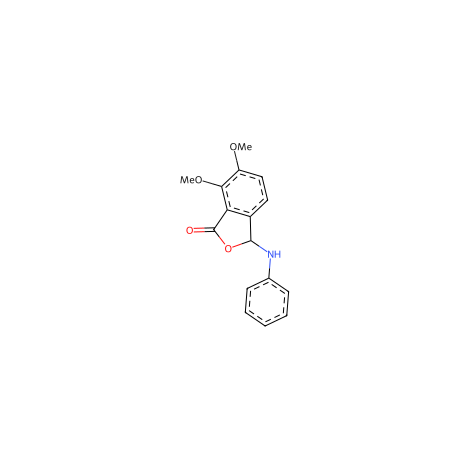 COc1ccc2c(c1OC)C(=O)OC2Nc1ccccc1